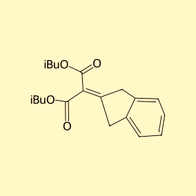 CC(C)COC(=O)C(C(=O)OCC(C)C)=C1Cc2ccccc2C1